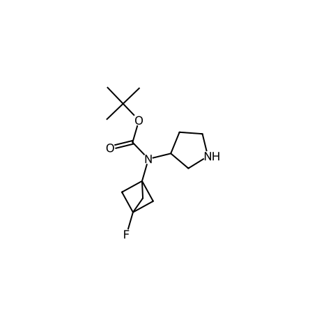 CC(C)(C)OC(=O)N(C1CCNC1)C12CC(F)(C1)C2